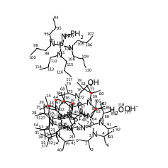 CC(C)N(C(C)C)P(=N[P+](N=P(N(C(C)C)C(C)C)(N(C(C)C)C(C)C)N(C(C)C)C(C)C)(N=P(N(C(C)C)C(C)C)(N(C(C)C)C(C)C)N(C(C)C)C(C)C)N=P(N(C(C)C)C(C)C)(N(C(C)C)C(C)C)N(C(C)C)C(C)(C)O)(N(C(C)C)C(C)C)N(C(C)C)C(C)C.CCCN(CCC)P(=NP)(N(CCC)CCC)N(CCC)CCC.O.[OH-]